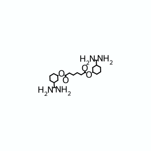 NC(N)C1CCCC(OC(=O)CCCCC(=O)OC2CCCC(C(N)N)C2)C1